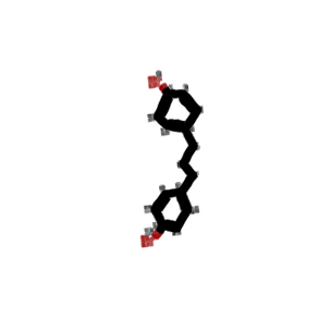 Brc1ccc(CCCc2ccc(Br)cc2)cc1